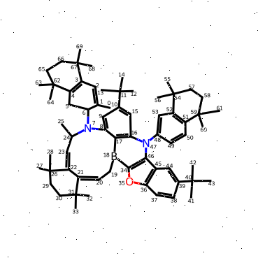 CC1=CC2=C(CC1N1c3cc(C(C)(C)C)cc4c3B(C/C=C3\C(=C/C1C)C(C)(C)CCC3(C)C)c1oc3ccc(C(C)(C)C)cc3c1N4c1ccc3c(c1)C(C)(C)CCC3(C)C)C(C)(C)CCC2(C)C